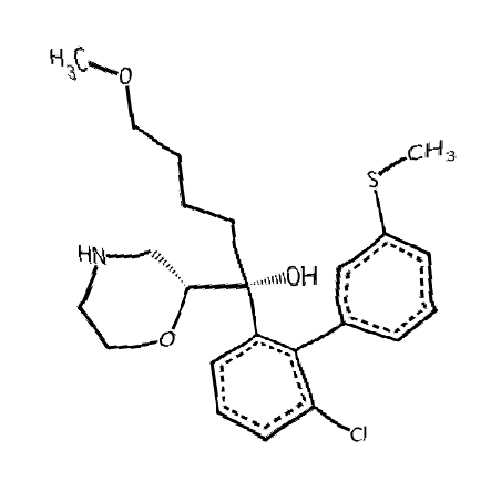 COCCCC[C@@](O)(c1cccc(Cl)c1-c1cccc(SC)c1)[C@H]1CNCCO1